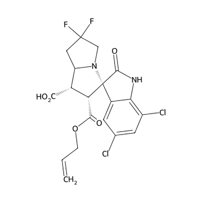 C=CCOC(=O)[C@@H]1[C@H](C(=O)O)C2CC(F)(F)CN2[C@@]12C(=O)Nc1c(Cl)cc(Cl)cc12